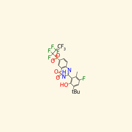 Cc1c(F)cc(C(C)(C)C)c(O)c1C1=Nc2ccc(S(=O)(=O)C(F)(F)C(F)(F)C(F)(F)F)cc2S(=O)(=O)N1